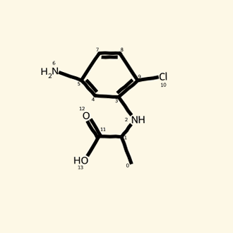 CC(Nc1cc(N)ccc1Cl)C(=O)O